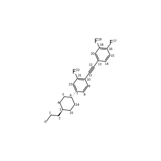 CCC[C@H]1CC[C@H](c2ccc(C#Cc3ccc(F)c(F)c3)c(F)c2)CC1